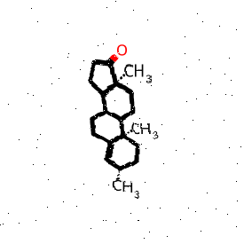 C[C@@H]1C=C2CCC3C(CC[C@]4(C)C(=O)CCC34)[C@@]2(C)CC1